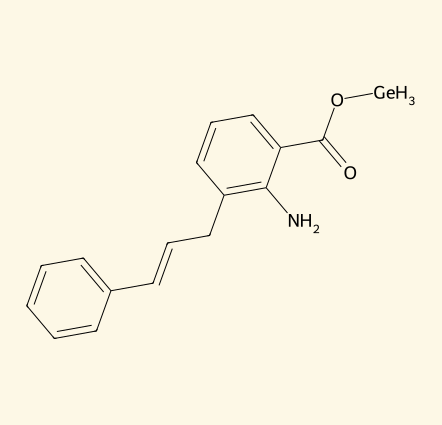 Nc1c(CC=Cc2ccccc2)cccc1C(=O)[O][GeH3]